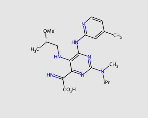 CO[C@@H](C)CNc1c(Nc2cc(C)ccn2)nc(N(C)C(C)C)nc1C(=N)C(=O)O